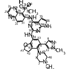 CN1CCN(c2c(-c3cnn(C)c3)cc(Nc3nc(Nc4ccc5nccnc5c4P(C)(C)=O)c4cc[nH]c4n3)c3c2CCO3)CC1